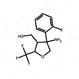 NC1(c2ccccc2F)COC(C(F)(F)F)C1CO